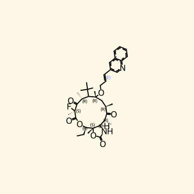 CC[C@H]1OC(=O)[C@@](C)(F)C(=O)[C@H](C)C(C(C)(C)C)[C@](C)(OC/C=C/c2cnc3ccccc3c2)C[C@@H](C)C(=O)[C@H](C)[C@H]2NC(=O)O[C@@]21C